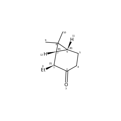 CC[C@@H]1C(=O)CC[C@@H]2[C@H]1C2(C)C